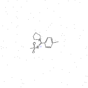 Cc1ccc(/C(=N/S(C)(=O)=O)N2CCCC2)cc1